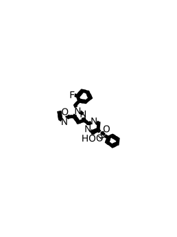 O=S(=O)(c1ccccc1)c1cnc(-c2cc(-c3ncco3)n(Cc3ccccc3F)n2)nc1O